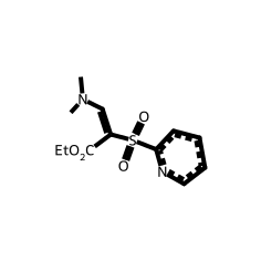 CCOC(=O)C(=CN(C)C)S(=O)(=O)c1ccccn1